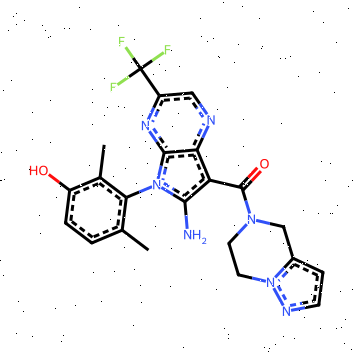 Cc1ccc(O)c(C)c1-n1c(N)c(C(=O)N2CCn3nccc3C2)c2ncc(C(F)(F)F)nc21